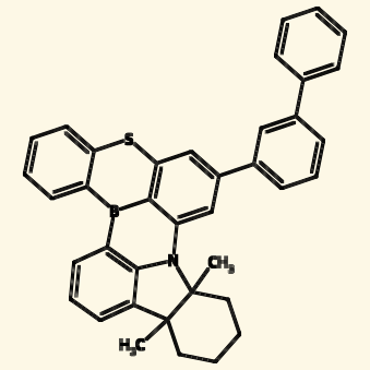 CC12CCCCC1(C)N1c3cc(-c4cccc(-c5ccccc5)c4)cc4c3B(c3ccccc3S4)c3cccc2c31